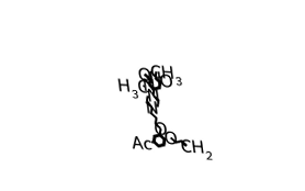 C=CCOc1ccc(C(C)=O)cc1OCCCN1CCN(c2cc(=O)n(C)c(=O)n2C)CC1